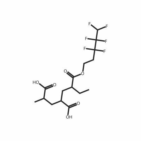 CCC(CC(CC(C)C(=O)O)C(=O)O)C(=O)OCCC(F)(F)C(F)(F)C(F)F